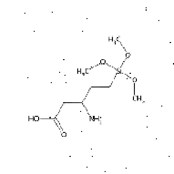 CO[Si](CCC(N)CC(=O)O)(OC)OC